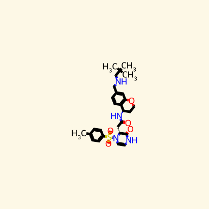 Cc1ccc(S(=O)(=O)N2C=CNC(=O)[C@H]2CC(=O)N[C@@H]2CCOc3cc(CNCC(C)(C)C)ccc32)cc1